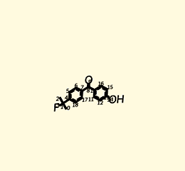 CC(C)(F)c1ccc(C(=O)c2ccc(O)cc2)cc1